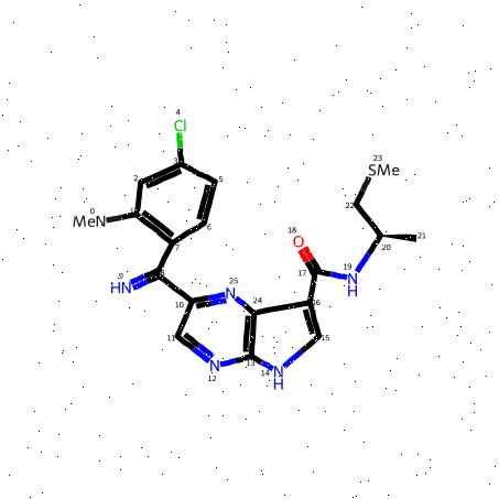 CNc1cc(Cl)ccc1C(=N)c1cnc2[nH]cc(C(=O)N[C@H](C)CSC)c2n1